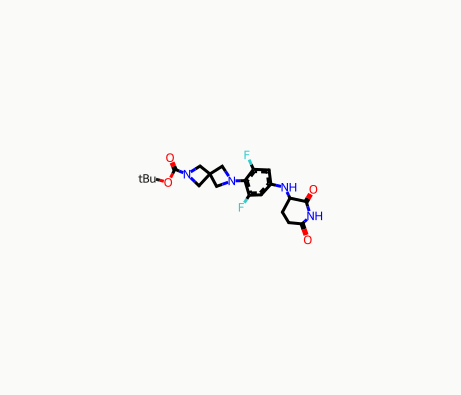 CC(C)(C)OC(=O)N1CC2(C1)CN(c1c(F)cc(NC3CCC(=O)NC3=O)cc1F)C2